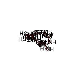 Cc1cc(OCCCC(=O)NCCNC(=O)C(CS(=O)(=O)O)NC(=O)C(CCC(=O)NC(CS(=O)(=O)O)C(=O)NCCNC(=O)CCCOc2cc(C)c(S(=O)(=O)NC(CNC(=O)C3C=CC(CCc4ccc5c(n4)NCCC5)=CC3)C(=O)O)c(C)c2)NC(=O)CN2CCN(CC(=O)O)CCN(CC(O)O)CCN(CC(=O)O)CC2)cc(C)c1S(=O)(=O)NC(CNC(=O)c1ccc(CCc2ccc3c(n2)NCCC3)cc1)C(=O)O